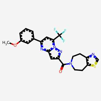 COc1cccc(-c2cc(C(F)(F)F)n3nc(C(=O)N4CCc5ncsc5CC4)cc3n2)c1